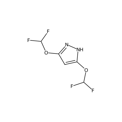 FC(F)Oc1cc(OC(F)F)[nH]n1